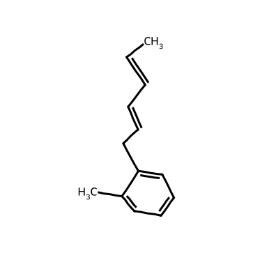 CC=CC=CCc1ccccc1C